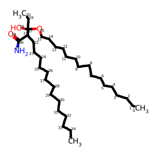 CCCCCCCCCCCCCCCCOC(O)(CC)C(CCCCCCCCCCCCCC)C(N)=O